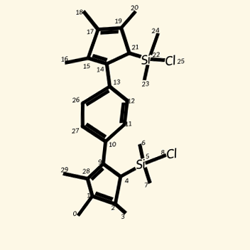 CC1=C(C)C([Si](C)(C)Cl)C(c2ccc(C3=C(C)C(C)=C(C)C3[Si](C)(C)Cl)cc2)=C1C